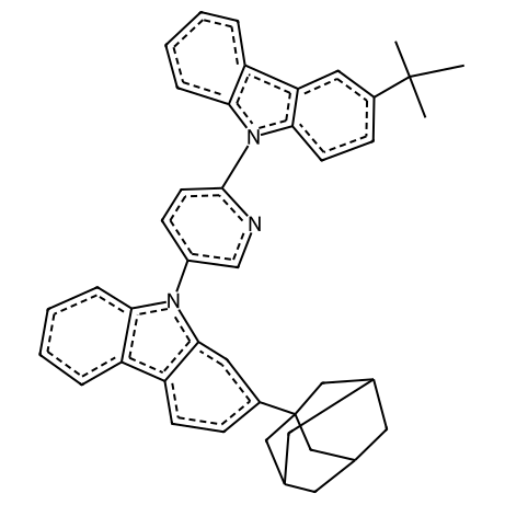 CC(C)(C)c1ccc2c(c1)c1ccccc1n2-c1ccc(-n2c3ccccc3c3ccc(C45CC6CC(CC(C6)C4)C5)cc32)cn1